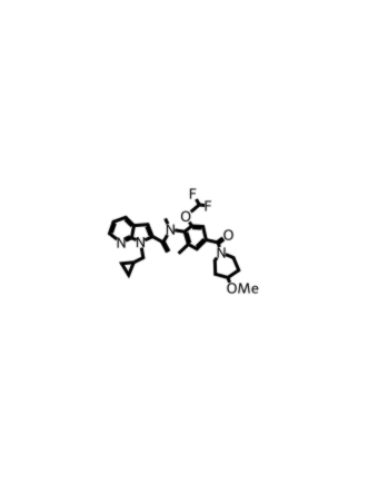 C=C(c1cc2cccnc2n1CC1CC1)N(C)c1c(C)cc(C(=O)N2CCC(OC)CC2)cc1OC(F)F